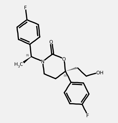 C[C@@H](c1ccc(F)cc1)N1CC[C@](CCO)(c2ccc(F)cc2)OC1=O